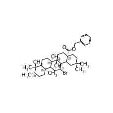 C[C@H]1CC[C@@]2(C)C(CC[C@]3(C)C2CC(Br)=C2C4CC(C)(C)CC[C@]4(C(=O)OCc4ccccc4)CC[C@]23C)C1(C)C